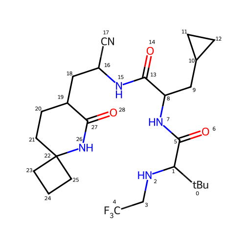 CC(C)(C)C(NCC(F)(F)F)C(=O)NC(CC1CC1)C(=O)NC(C#N)CC1CCC2(CCC2)NC1=O